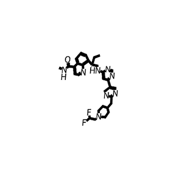 CC[C@@](C)(CNc1cc(-c2cnc(CC3CCN(CC(F)F)CC3)nc2)ncn1)c1cccc2c(C(=O)NC)ccnc12